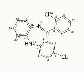 Clc1ccc2c(c1)C(c1ccccc1Cl)=Nc1cccnc1N2